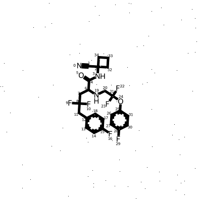 N#CC1(NC(=O)C(CC(F)(F)Cc2ccc(F)cc2)NCC(F)(F)Oc2ccc(F)cc2)CCC1